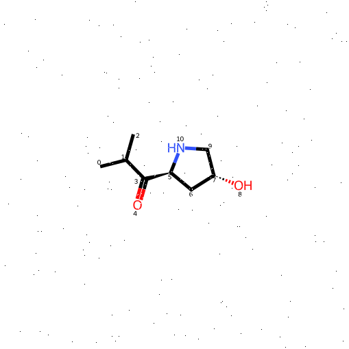 CC(C)C(=O)[C@@H]1C[C@@H](O)CN1